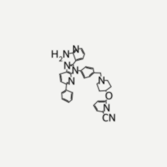 N#Cc1cccc(OC2CCN(Cc3ccc(-n4c(-c5cccnc5N)nc5ccc(-c6ccccc6)nc54)cc3)CC2)n1